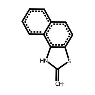 [CH]=C1Nc2c(ccc3ccccc23)S1